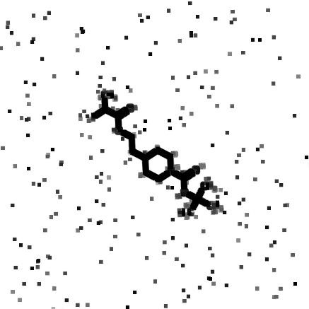 CC(I)C(=O)OCCC1CCN(C(=O)OC(C)(C)C)CC1